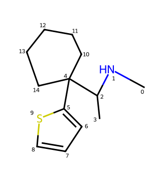 CNC(C)C1(c2cccs2)CCCCC1